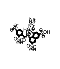 O=C(Nc1cc(S(=O)(=O)O)cc2cc(S(=O)(=O)O)cc(S(=O)(=O)O)c12)c1ccc([N+](=O)[O-])cc1S(=O)(=O)O.[Na].[Na].[Na].[Na]